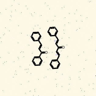 O=C(/C=C/c1ccccc1)/C=C/c1ccccc1.O=C(C=Cc1ccccc1)c1ccccc1